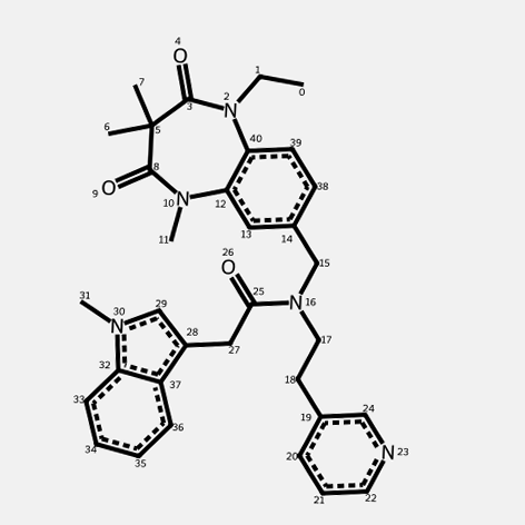 CCN1C(=O)C(C)(C)C(=O)N(C)c2cc(CN(CCc3cccnc3)C(=O)Cc3cn(C)c4ccccc34)ccc21